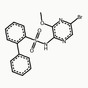 COc1nc(Br)cnc1NS(=O)(=O)c1ccccc1-c1ccccc1